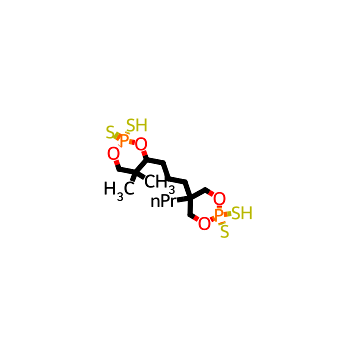 CCCC1(CCCC2OP(=S)(S)OCC2(C)C)COP(=S)(S)OC1